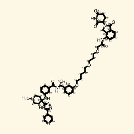 C[C@H](NC(=O)c1cccc(NC2(c3nnc(-c4ccncc4)[nH]3)CCN(C)CC2)c1)c1cccc(OCCCCCOCCCOCC(=O)Nc2cccc3c2CN(C2CCC(=O)NC2=O)C3=O)c1